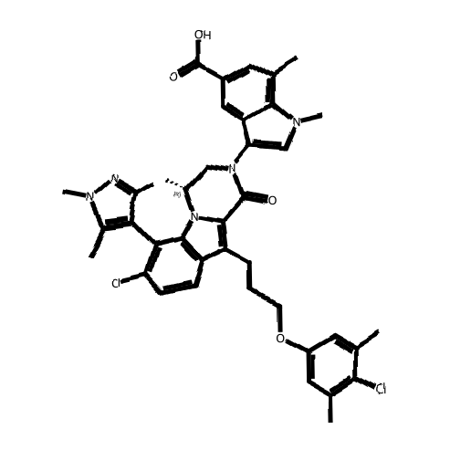 Cc1cc(OCCCc2c3n(c4c(-c5c(C)nn(C)c5C)c(Cl)ccc24)[C@H](C)CN(c2cn(C)c4c(C)cc(C(=O)O)cc24)C3=O)cc(C)c1Cl